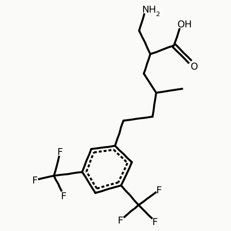 CC(CCc1cc(C(F)(F)F)cc(C(F)(F)F)c1)CC(CN)C(=O)O